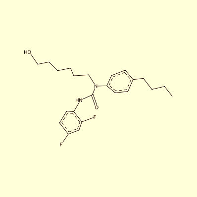 CCCCc1ccc(N(CCCCCCO)C(=O)Nc2ccc(F)cc2F)cc1